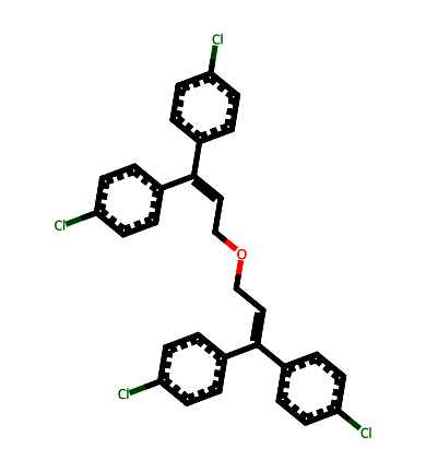 Clc1ccc(C(=CCOCC=C(c2ccc(Cl)cc2)c2ccc(Cl)cc2)c2ccc(Cl)cc2)cc1